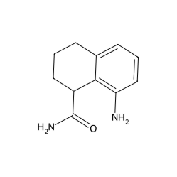 NC(=O)C1CCCc2cccc(N)c21